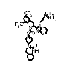 CN(C)CCCn1c(C(Cc2cc(C(F)(F)F)cc(C(F)(F)F)c2)NC(=O)ON2CCC(N3CCc4ccccc4NC3=O)CC2)nc2ccccc21